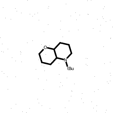 CC(C)(C)N1CCCC2OCCCC21